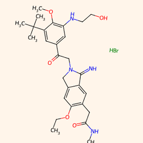 Br.CCOc1cc2c(cc1CC(=O)NC)C(=N)N(CC(=O)c1cc(NCCO)c(OC)c(C(C)(C)C)c1)C2